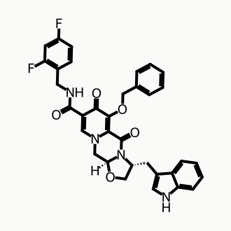 O=C(NCc1ccc(F)cc1F)c1cn2c(c(OCc3ccccc3)c1=O)C(=O)N1[C@H](Cc3c[nH]c4ccccc34)CO[C@H]1C2